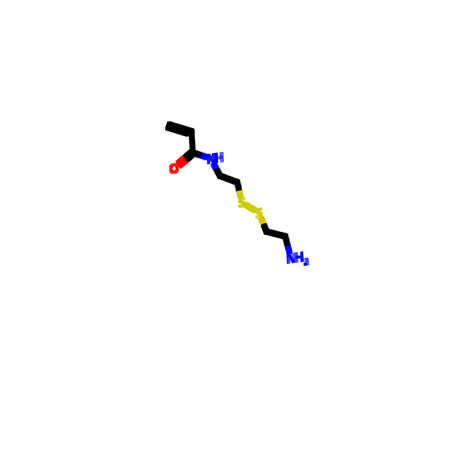 C=CC(=O)NCCSSCCN